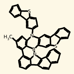 Cc1cc2c3c(c1)N(c1ccc4sc5ccccc5c4c1)c1cc4c(cc1B3n1c3c-2cccc3c2ccc3ccccc3c21)sc1ccccc14